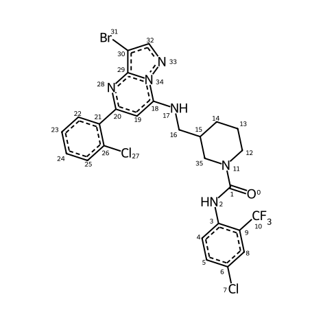 O=C(Nc1ccc(Cl)cc1C(F)(F)F)N1CCCC(CNc2cc(-c3ccccc3Cl)nc3c(Br)cnn23)C1